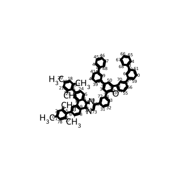 Cc1cc(C)c(-c2ccc3c(c2)c2cc(-c4c(C)cc(C)cc4C)ccc2c2nc(-c4cccc(-c5cc(-c6cccc(-c7ccccc7)c6)cc6c5oc5ccc(-c7cccc(-c8ccccc8)c7)cc56)c4)cnc32)c(C)c1